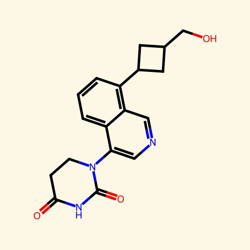 O=C1CCN(c2cncc3c(C4CC(CO)C4)cccc23)C(=O)N1